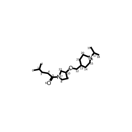 CC(C)CCC(=O)N1CCC(OCC2CCN(C(C)C)CC2)C1